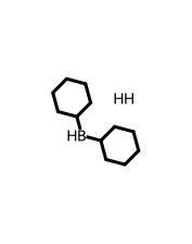 B(C1CCCCC1)C1CCCCC1.[HH]